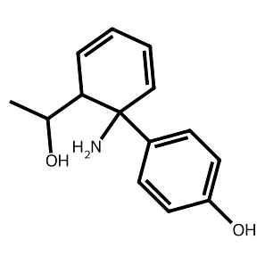 CC(O)C1C=CC=CC1(N)c1ccc(O)cc1